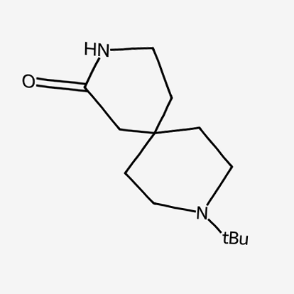 CC(C)(C)N1CCC2(CCNC(=O)C2)CC1